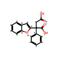 O=C(O)CC(C(=O)O)(c1ccccc1)c1cc2ccccc2o1